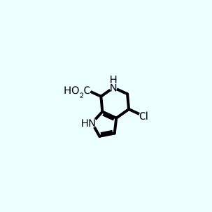 O=C(O)C1NCC(Cl)c2cc[nH]c21